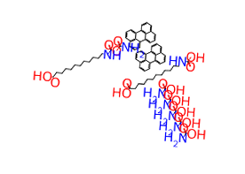 NC(=O)O.NC(=O)O.NC(=O)O.NC(=O)O.NC(=O)O.NC(=O)OC(=O)NCCCCCCCCCCCC(=O)O.O=C(O)CCCCCCCCCCCNC(=O)O.c1cc2cccc3c4cccc5cccc(c(c1)c23)c54.c1cc2cccc3c4cccc5cccc(c(c1)c23)c54